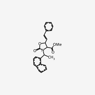 COC(=O)C1C(/C=C/c2ccccc2)OC(=O)N1C(C)c1cccc2ccccc12